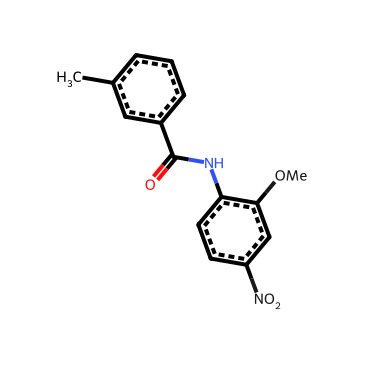 COc1cc([N+](=O)[O-])ccc1NC(=O)c1cccc(C)c1